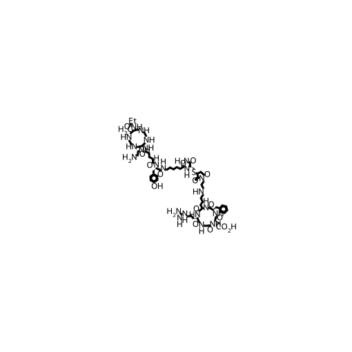 CCC(=O)N[C@]1(C)CNCCNC[C@](NCCN)(NC(=O)CCCC(=O)N[C@@H](Cc2ccc(O)cc2)C(=O)NCCCCCC(=O)N[C@@H](CSC2CC(=O)N(CCCNCCCCC3NC(=O)[C@@H](Cc4ccccc4)NC(=O)[C@@H](CC(=O)O)NC(=O)CNC(=O)[C@H](CCCNC(=N)N)NC3=O)C2=O)C(N)=O)CNCCNC1